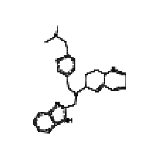 CN(C)Cc1ccc(CN(Cc2nc3ccccc3[nH]2)C2C=C3C=CC=NC3CC2)cc1